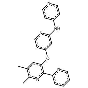 Cc1cc(Oc2ccnc(Nc3ccncc3)c2)c(-c2ccccn2)nc1C